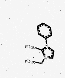 CCCCCCCCCCC[n+]1ccn(-c2ccccc2)c1CCCCCCCCCC